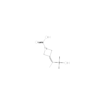 CC(=C1CN(C(=O)O)C1)C(C)(C)O